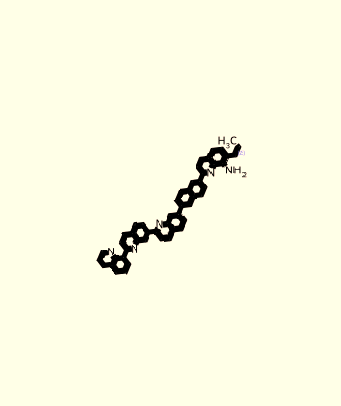 C/C=C\c1ccc2ccc(-c3ccc4cc(-c5ccc6ccc(-c7ccc8ccc(-c9cccc%10cccnc9%10)nc8c7)nc6c5)ccc4c3)nc2c1N